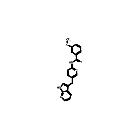 O=C(Nc1ccc(Cc2c[nH]c3ncccc23)cn1)c1cccc(OC(F)(F)F)c1